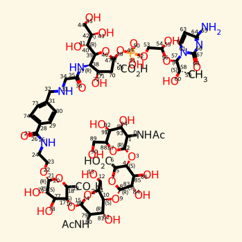 CC(=O)NC1[C@@H](O[C@@H]2C(C(=O)O)O[C@@H](O[C@@H]3C(CO)O[C@H](O[C@@H]4C(C(=O)O)O[C@@H](OCCNC(=O)c5ccc(CNCC(=O)N[C@H]6C([C@H](O)[C@H](O)CO)O[C@](OP(=O)(O)OCC(O)O[C@H]([C@H](C)O)n7ccc(N)nc7=O)(C(=O)O)C[C@H]6O)cc5)[C@@H](O)C4O)C(NC(C)=O)[C@H]3O)[C@@H](O)C2O)OC(CO)[C@@H](O)[C@@H]1O